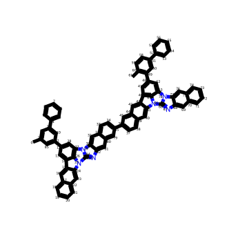 Cc1cc(-c2ccccc2)cc(-c2cc3c4cc5ccccc5cc4n4c3c(c2)n2c3cc5ccc(-c6ccc7cc8c(cc7c6)c6cc(-c7cc(-c9ccccc9)ccc7C)cc7c6n8c6nc8cc9ccccc9cc8n76)cc5cc3nc24)c1